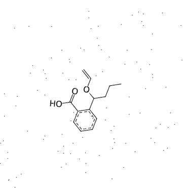 C=COC(CCC)c1ccccc1C(=O)O